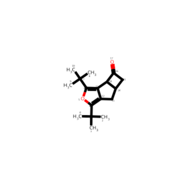 CC(C)(C)c1oc(C(C)(C)C)c2c1CC1CC(=O)C21